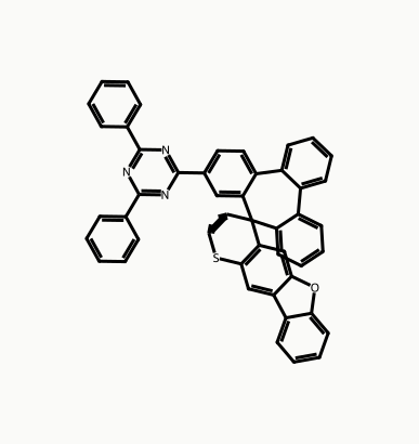 c1ccc(-c2nc(-c3ccccc3)nc(-c3ccc4c(c3)C3(c5ccccc5Sc5cc6c(cc53)oc3ccccc36)c3ccccc3-c3ccccc3-4)n2)cc1